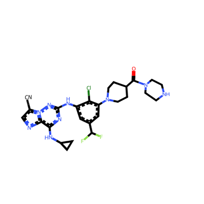 N#Cc1cnc2c(NC3CC3)nc(Nc3cc(C(F)F)cc(N4CCC(C(=O)N5CCNCC5)CC4)c3Cl)nn12